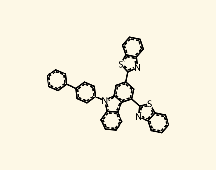 c1ccc(-c2ccc(-n3c4ccccc4c4c(-c5nc6ccccc6s5)cc(-c5nc6ccccc6s5)cc43)cc2)cc1